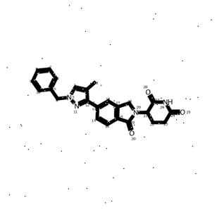 Cc1cn(Cc2ccccc2)nc1-c1ccc2c(c1)CN(C1CCC(=O)NC1=O)C2=O